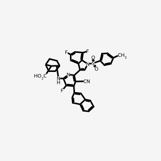 Cc1ccc(S(=O)(=O)n2cc(-c3nc(NC4C5CCC(CC5)C4C(=O)O)c(F)c(-c4ccc5ccccc5c4)c3C#N)c3cc(F)cc(F)c32)cc1